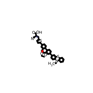 CCN1c2ccccc2Sc2cc(-c3ccc4c(c3)C3(OCCO3)C3(OCCO3)c3cc(-c5ccc(/C=C(\C#N)C(=O)O)s5)ccc3-4)ccc21